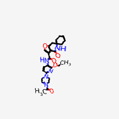 CCOc1nc(N2CCN(C(C)=O)CC2)ccc1NC(=O)c1coc2c1C(=O)NC1(CCCCC1)C2